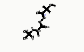 COC(C)(C)/C(Cl)=N/OC(=O)N(C)SC(Cl)(Cl)Cl